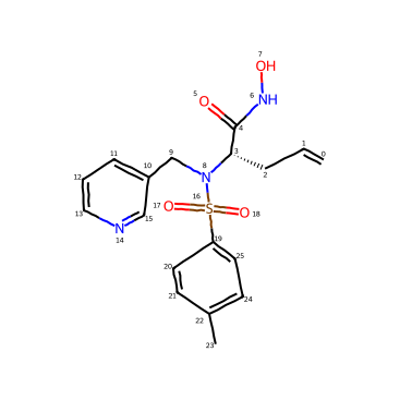 C=CC[C@@H](C(=O)NO)N(Cc1cccnc1)S(=O)(=O)c1ccc(C)cc1